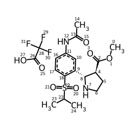 COC(=O)[C@H]1CCN[C@@H]1c1cc(NC(C)=O)ccc1S(=O)(=O)C(C)C.O=C(O)C(F)(F)F